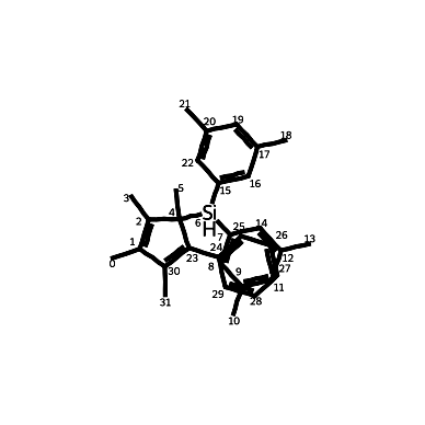 CC1=C(C)C(C)([SiH](c2cc(C)cc(C)c2)c2cc(C)cc(C)c2)C(c2ccccc2)=C1C